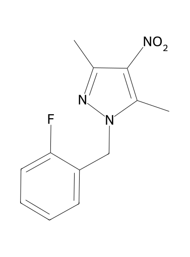 Cc1nn(Cc2ccccc2F)c(C)c1[N+](=O)[O-]